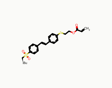 C=CC(=O)OCCSc1ccc(C=Cc2ccc(S(=O)(=O)C[C@H](C)CC)cc2)cc1